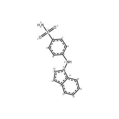 NS(=O)(=O)c1ccc(Nn2ncc3ccccc32)cc1